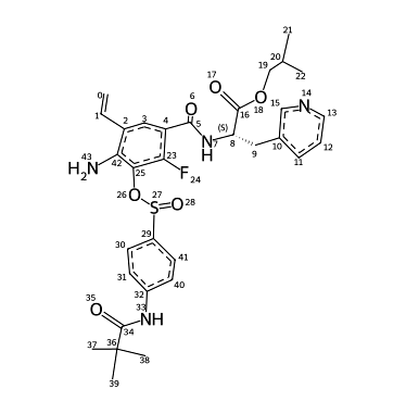 C=Cc1cc(C(=O)N[C@@H](Cc2cccnc2)C(=O)OCC(C)C)c(F)c(OS(=O)c2ccc(NC(=O)C(C)(C)C)cc2)c1N